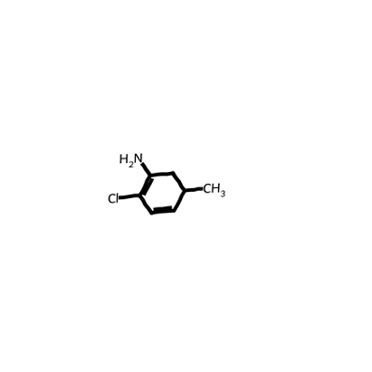 CC1C=CC(Cl)=C(N)C1